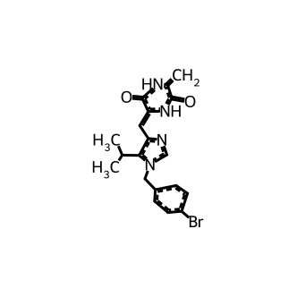 C=c1[nH]c(=O)c(=Cc2ncn(Cc3ccc(Br)cc3)c2C(C)C)[nH]c1=O